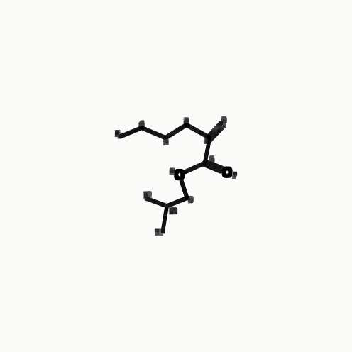 C=C(CCCC)C(=O)OCC(C)C